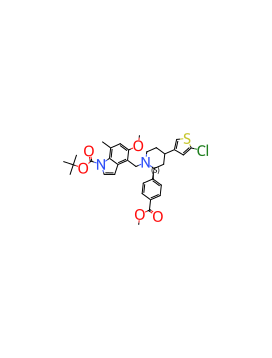 COC(=O)c1ccc([C@@H]2CC(c3csc(Cl)c3)CCN2Cc2c(OC)cc(C)c3c2ccn3C(=O)OC(C)(C)C)cc1